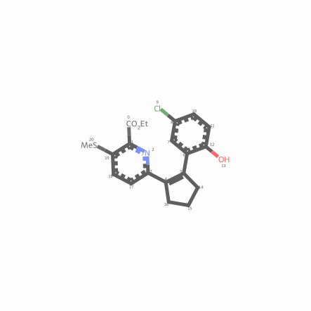 CCOC(=O)c1nc(C2=C(c3cc(Cl)ccc3O)CCC2)ccc1SC